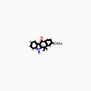 COc1ccc2c(c1)C(C)(C)C1=C(C2=O)C2=CC=CCC2N1C